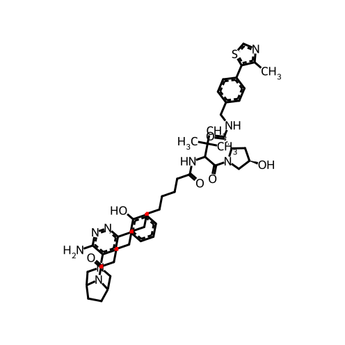 Cc1ncsc1-c1ccc(CNC(=O)[C@@H]2C[C@@H](O)CN2C(=O)C(NC(=O)CCCCCCCCCCC(=O)N2C3CCC2CN(c2cc(-c4ccccc4O)nnc2N)C3)C(C)(C)C)cc1